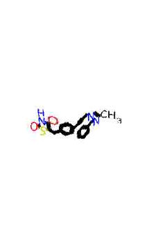 Cc1cn(CC#Cc2ccc(CC3SC(=O)NC3=O)cc2)c(-c2ccccc2)n1